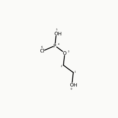 OCCOP(O)Cl